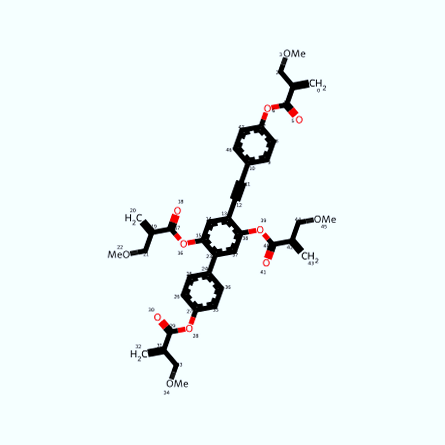 C=C(COC)C(=O)Oc1ccc(C#Cc2cc(OC(=O)C(=C)COC)c(-c3ccc(OC(=O)C(=C)COC)cc3)cc2OC(=O)C(=C)COC)cc1